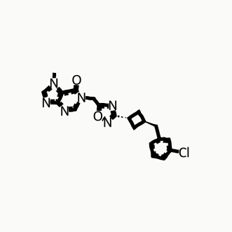 Cn1cnc2ncn(Cc3nc([C@H]4C[C@H](Cc5cccc(Cl)c5)C4)no3)c(=O)c21